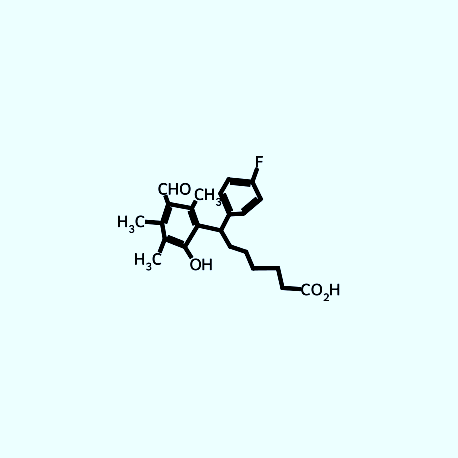 Cc1c(C)c(C=O)c(C)c(C(CCCCCC(=O)O)c2ccc(F)cc2)c1O